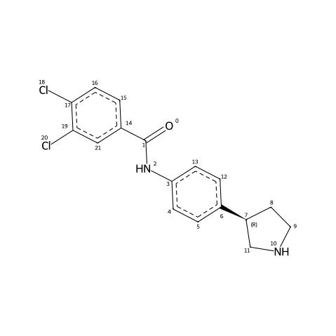 O=C(Nc1ccc([C@H]2CCNC2)cc1)c1ccc(Cl)c(Cl)c1